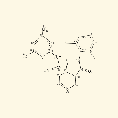 Cc1cccc(C)c1N1CC2(C(=O)Nc3cc(C(F)(F)F)cc(C(F)(F)F)c3)CC=CCC2C1=O